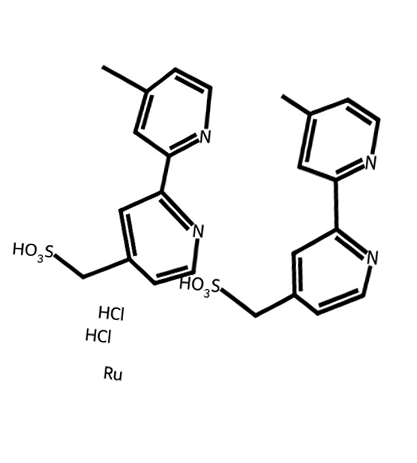 Cc1ccnc(-c2cc(CS(=O)(=O)O)ccn2)c1.Cc1ccnc(-c2cc(CS(=O)(=O)O)ccn2)c1.Cl.Cl.[Ru]